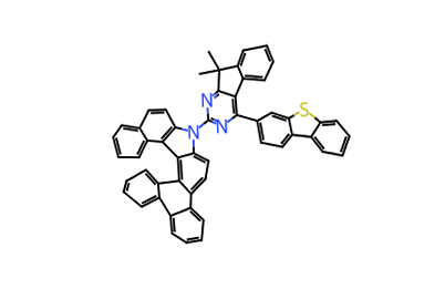 CC1(C)c2ccccc2-c2c(-c3ccc4c(c3)sc3ccccc34)nc(-n3c4ccc5ccccc5c4c4c5c6ccccc6c6ccccc6c5ccc43)nc21